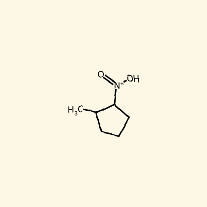 CC1CCCC1[N+](=O)O